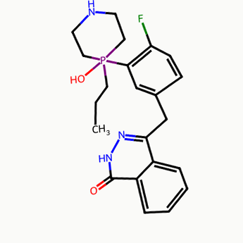 CCCP1(O)(c2cc(Cc3n[nH]c(=O)c4ccccc34)ccc2F)CCNCC1